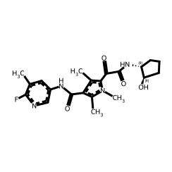 Cc1cc(NC(=O)c2c(C)c(C(=O)C(=O)N[C@@H]3CCC[C@H]3O)n(C)c2C)cnc1F